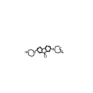 CN1CCCN(c2ccc3c(c2)C(=O)c2cc(N4CCCN(C)CC4)ccc2-3)CC1